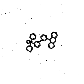 O=P(c1ccccc1)(c1ccccc1)c1cccc(-c2cccc(-c3c4ccccc4cc4ccccc34)c2)c1